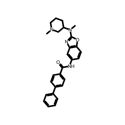 CN1CCCC(N(C)c2nc3cc(NC(=O)c4ccc(-c5ccccc5)cc4)ccc3o2)C1